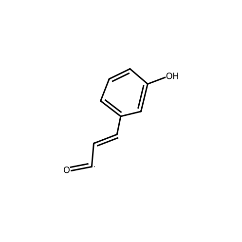 O=[C]/C=C/c1cccc(O)c1